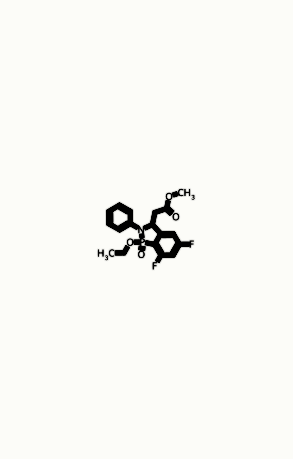 CCOP1(=O)c2c(F)cc(F)cc2C(CC(=O)OC)N1c1ccccc1